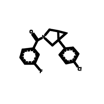 O=C(c1cccc(F)c1)N1CC2CC2(c2ccc(Cl)cc2)C1